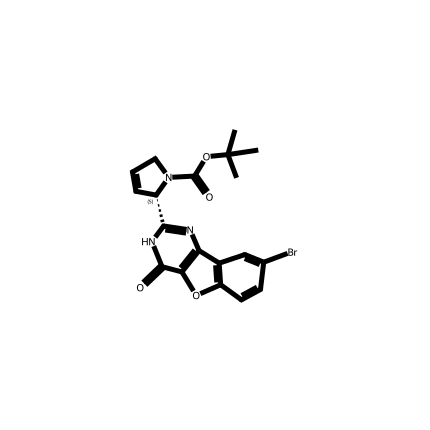 CC(C)(C)OC(=O)N1CC=C[C@H]1c1nc2c(oc3ccc(Br)cc32)c(=O)[nH]1